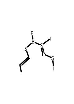 CC=CSB(F)S(I)=PSI